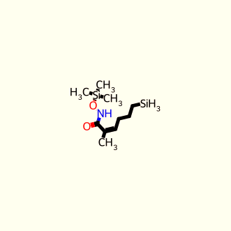 CC(=CCCC[SiH3])C(=O)NO[Si](C)(C)C